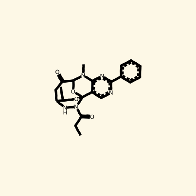 CCC(=O)N1NC2CC(=O)C3OC1(OC2C)c1cnc(-c2ccccc2)nc1N3C